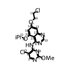 COc1ncc(Cl)c(Nc2ncnc3cc(OCCCl)cc(OC(C)C)c23)n1